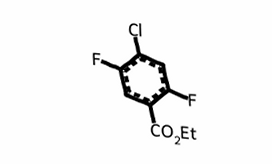 CCOC(=O)c1cc(F)c(Cl)cc1F